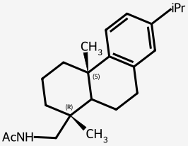 CC(=O)NC[C@]1(C)CCC[C@]2(C)c3ccc(C(C)C)cc3CCC12